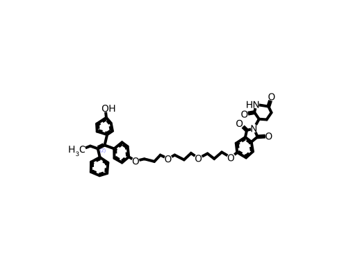 CC/C(=C(\c1ccc(O)cc1)c1ccc(OCCCOCCCOCCCOc2ccc3c(c2)C(=O)N(C2CCC(=O)NC2=O)C3=O)cc1)c1ccccc1